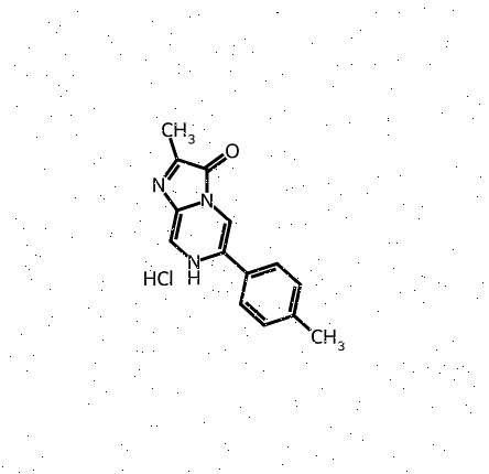 Cc1ccc(-c2cn3c(=O)c(C)nc-3c[nH]2)cc1.Cl